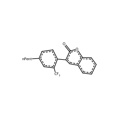 CCCCCc1ccc(-c2cc3ccccc3oc2=O)c(C(F)(F)F)c1